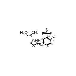 CCC(C)[C@H]1CSC(=Nc2ccc(Cl)c(C(F)(F)F)c2)N1